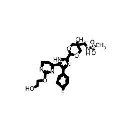 CC1(CNS(C)(=O)=O)COC(c2nc(-c3ccc(F)cc3)c(-c3ccnc(OCCO)n3)[nH]2)OC1